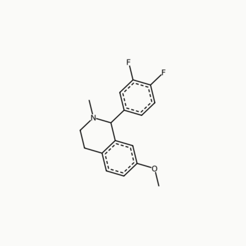 COc1ccc2c(c1)C(c1ccc(F)c(F)c1)N(C)CC2